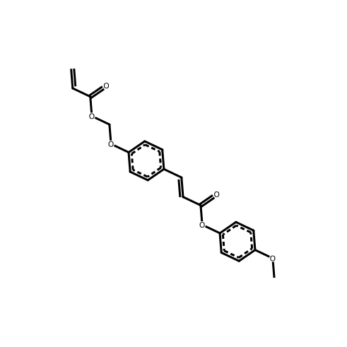 C=CC(=O)OCOc1ccc(C=CC(=O)Oc2ccc(OC)cc2)cc1